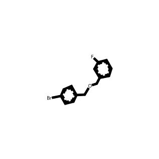 Fc1cccc(COCc2ccc(Br)cc2)c1